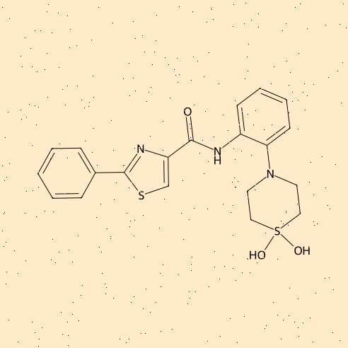 O=C(Nc1ccccc1N1CCS(O)(O)CC1)c1csc(-c2ccccc2)n1